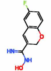 N=C(NO)C1=Cc2cc(F)ccc2OC1